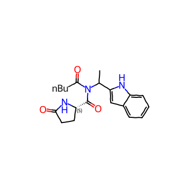 CCCCC(=O)N(C(=O)[C@@H]1CCC(=O)N1)C(C)c1cc2ccccc2[nH]1